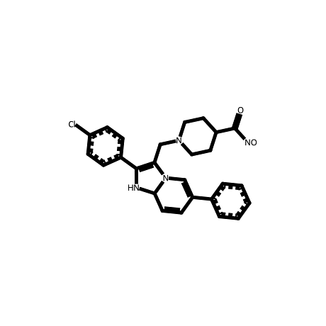 O=NC(=O)C1CCN(CC2=C(c3ccc(Cl)cc3)NC3C=CC(c4ccccc4)=CN23)CC1